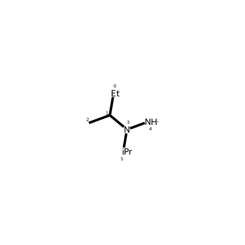 CCC(C)N([NH])C(C)C